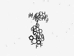 CC(C)(C)[Si](C)(C)OCCOC(=O)Oc1c2n(ccc1=O)N([C@@H]1c3ccccc3SCc3c1ccc(F)c3F)[C@@H]1COCCN1C2=O